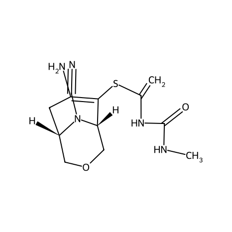 C=C(NC(=O)NC)SC1=C(N)C[C@H]2COC[C@@H]1N2C#N